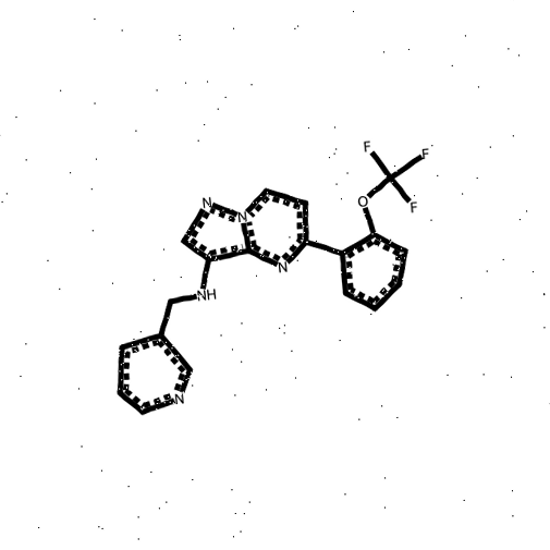 FC(F)(F)Oc1ccccc1-c1ccn2ncc(NCc3cccnc3)c2n1